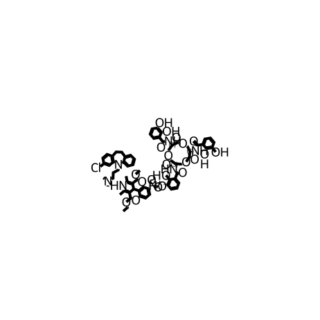 CCOC(=O)C1=C(C)NC(C)=C(C(=O)OC)C1c1cccc([N+](=O)[O-])c1.CN(C)CCCN1c2ccccc2CCc2ccc(Cl)cc21.O=C(N[C@H]1COC(=O)[C@@H](NC(=O)c2cccc(O)c2O)COC(=O)[C@@H](NC(=O)c2cccc(O)c2O)COC1=O)c1cccc(O)c1O